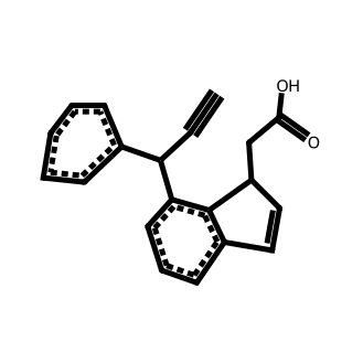 C#CC(c1ccccc1)c1cccc2c1C(CC(=O)O)C=C2